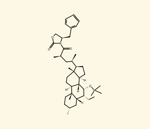 CC[C@H]1[C@@H](O[Si](C)(C)C)[C@@H]2[C@H](CC[C@]3(C)[C@@H]([C@H](C)C[C@@H](C)C(=O)N4C(=O)OC[C@H]4Cc4ccccc4)CC[C@@H]23)[C@@]2(C)CC[C@@H](C)C[C@@H]12